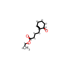 CCOC(=O)CCCC1=CCCCC1=O